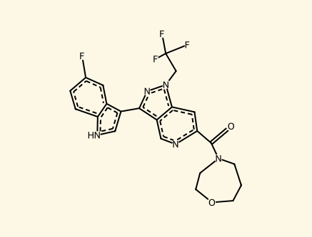 O=C(c1cc2c(cn1)c(-c1c[nH]c3ccc(F)cc13)nn2CC(F)(F)F)N1CCCOCC1